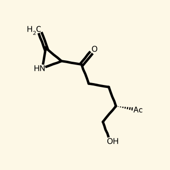 C=C1NC1C(=O)CC[C@@H](CO)C(C)=O